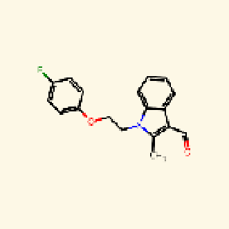 Cc1c(C=O)c2ccccc2n1CCOc1ccc(F)cc1